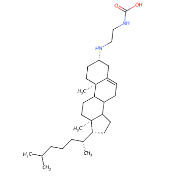 CC(C)CCC[C@@H](C)[C@H]1CCC2C3CC=C4C[C@@H](NCCNC(=O)O)CC[C@]4(C)C3CC[C@@]21C